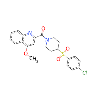 COc1cc(C(=O)N2CCC(S(=O)(=O)c3ccc(Cl)cc3)CC2)nc2ccccc12